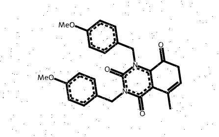 COc1ccc(Cn2c3c(c(=O)n(Cc4ccc(OC)cc4)c2=O)C(C)=CCC3=O)cc1